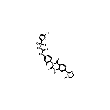 CN1CCN=C1c1ccc2c(=O)n(-c3ccc(NC(=O)NS(=O)(=O)c4ccc(Cl)s4)cc3F)c(=O)[nH]c2c1